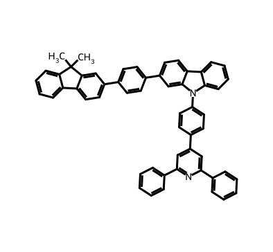 CC1(C)c2ccccc2-c2ccc(-c3ccc(-c4ccc5c6ccccc6n(-c6ccc(-c7cc(-c8ccccc8)nc(-c8ccccc8)c7)cc6)c5c4)cc3)cc21